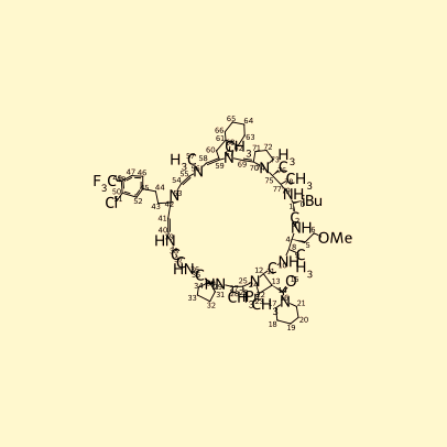 CC[C@H](C)[C@H]1CN[C@@H](CCOC)C(C)NCC2[C@@H](C(=O)N3CCCCC3)C(C)N2[C@@H](C(C)C)C(C)NC2(CCCC2)CNCCNC=CC(CCc2ccc(C(F)(F)F)c(Cl)c2)=NC=CN(C)C=C(CC2CCCCC2)N(C)C=C2CCCN2[C@@H](C)C(C)N1